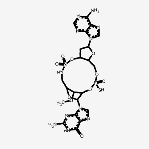 COC1C2CNS(=O)(=O)OC3CC(n4cnc5c(N)ncnc54)OC3COP(=O)(S)OC1C(n1cnc3c(=O)[nH]c(N)nc31)O2